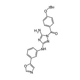 CC(C)(C)Oc1ccc(C(=O)n2nc(Nc3cccc(-c4cnco4)c3)nc2N)cc1